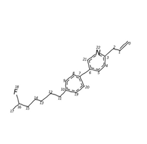 C=CCc1ccc(-c2ccc(CCCCCC(C)F)cc2)cn1